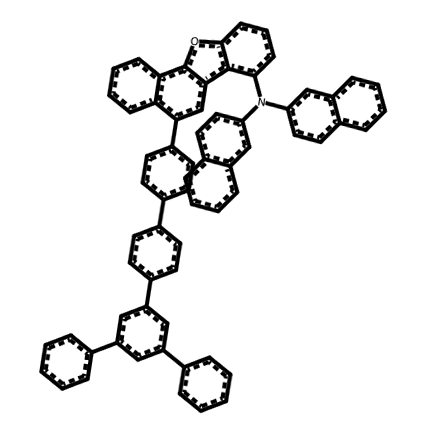 c1ccc(-c2cc(-c3ccccc3)cc(-c3ccc(-c4ccc(-c5cc6c(oc7cccc(N(c8ccc9ccccc9c8)c8ccc9ccccc9c8)c76)c6ccccc56)cc4)cc3)c2)cc1